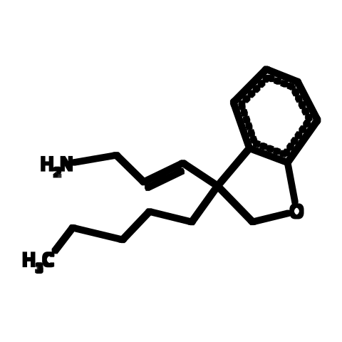 CCCCCC1(C=CCN)COc2ccccc21